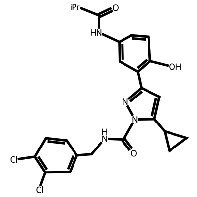 CC(C)C(=O)Nc1ccc(O)c(-c2cc(C3CC3)n(C(=O)NCc3ccc(Cl)c(Cl)c3)n2)c1